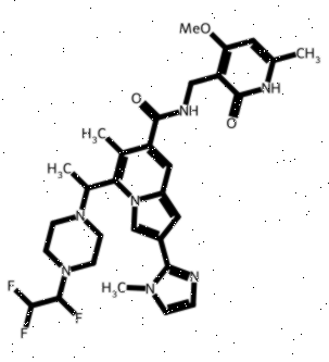 COc1cc(C)[nH]c(=O)c1CNC(=O)c1cc2cc(-c3nccn3C)cn2c(C(C)N2CCN(C(F)C(F)F)CC2)c1C